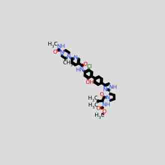 CNC(=O)N1CCN(c2ccc(C(=O)Nc3cc(O)c(-c4ccc(-c5c[nH]c([C@@H]6CCCN6C(=O)[C@@H](NC(=O)OC)C(C)C)n5)cc4)cc3Cl)cn2)[C@H](C)C1